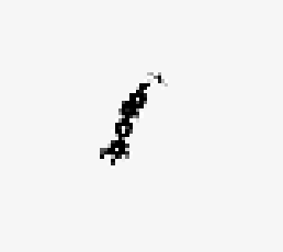 CCCc1ccc2c(F)c(C3CCC(c4cc(F)c(F)c(F)c4)CC3)ccc2c1